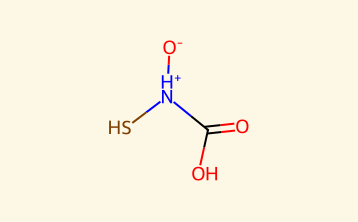 O=C(O)[NH+]([O-])S